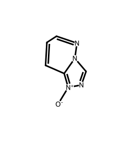 [O-][n+]1ncn2ncccc21